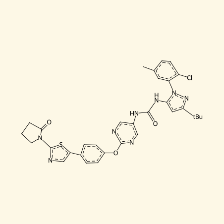 Cc1ccc(Cl)c(-n2nc(C(C)(C)C)cc2NC(=O)Nc2cnc(Oc3ccc(-c4cnc(N5CCCC5=O)s4)cc3)nc2)c1